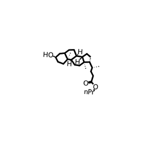 CCCOC(=O)CC[C@@H](C)[C@H]1CC[C@H]2[C@@H]3CCC4C[C@H](O)CC[C@]4(C)[C@H]3CC[C@]12C